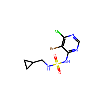 O=S(=O)(NCC1CC1)Nc1ncnc(Cl)c1Br